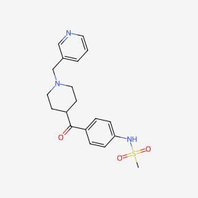 CS(=O)(=O)Nc1ccc(C(=O)C2CCN(Cc3cccnc3)CC2)cc1